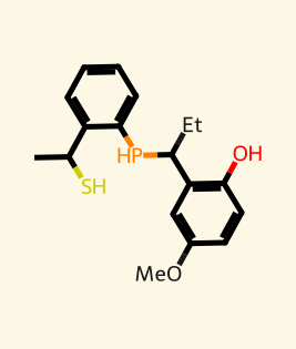 CCC(Pc1ccccc1C(C)S)c1cc(OC)ccc1O